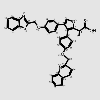 CC(C(O)=S)c1occ(-c2ccc(OCc3nc4ccccc4s3)cc2)c1-c1ccc(OCc2ccc3ccccc3n2)cc1